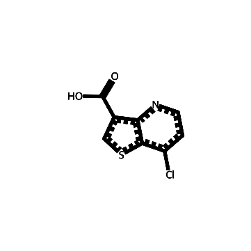 O=C(O)c1csc2c(Cl)ccnc12